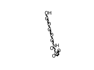 O=C(CCN1C(=O)C=CC1=O)NCCOCCOCCOCCOCCOCCO